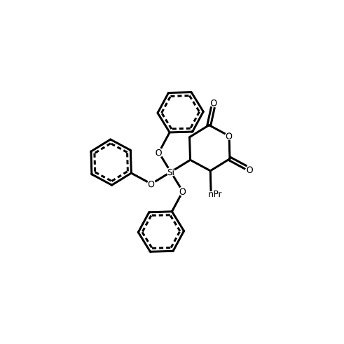 CCCC1C(=O)OC(=O)CC1[Si](Oc1ccccc1)(Oc1ccccc1)Oc1ccccc1